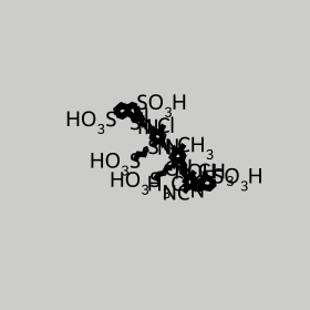 Cc1cc(N=Nc2c(C)c(C#N)c3nc4ccc(S(=O)(=O)O)c(C)c4n3c2O)c(OCCCS(=O)(=O)O)cc1N=Nc1cc(Cl)c(N=Nc2nc3c(S(=O)(=O)O)cc4ccc(S(=O)(=O)O)cc4c3s2)cc1SCCCS(=O)(=O)O